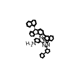 Nc1ccc(-n2c3ccccc3c3ccc4c(c32)-c2ccccc2[C@H]4c2cccc3ccccc23)c(-c2nc(-c3ccccc3)nc(-c3cccc(-c4ccccc4)c3)n2)c1